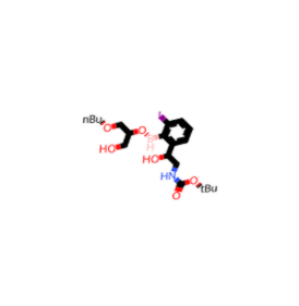 CCCCOCC(CO)OBc1c(I)cccc1C(O)CNC(=O)OC(C)(C)C